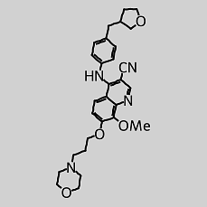 COc1c(OCCCN2CCOCC2)ccc2c(Nc3ccc(CC4CCOC4)cc3)c(C#N)cnc12